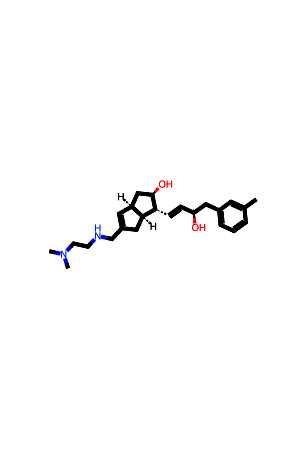 Cc1cccc(C[C@@H](O)/C=C/[C@@H]2[C@H]3CC(CNCCN(C)C)=C[C@H]3C[C@H]2O)c1